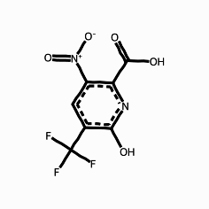 O=C(O)c1nc(O)c(C(F)(F)F)cc1[N+](=O)[O-]